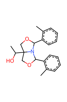 Cc1ccccc1C1OCC2(C(C)O)COC(c3ccccc3C)N12